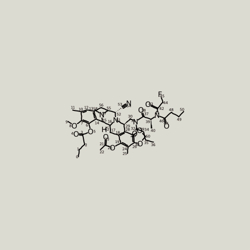 CCCC(=O)Oc1c(OC)c(C)cc2c1C1[C@@H]3Cc4c(OC(C)=O)c(C)c5c(c4[C@H](CN(C(=O)CCC)C(=O)[C@H](C)N(C(=O)CF)C(=O)CCC)N3[C@@H](C#N)C(C2)N1C)OCO5